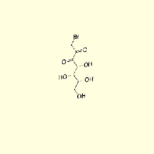 O=C(CBr)C(=O)[C@H](O)[C@@H](O)[C@H](O)CO